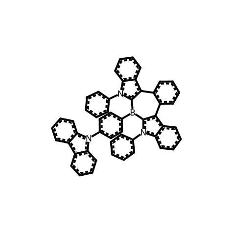 c1ccc(-n2c3c(c4ccccc42)-c2ccccc2-c2c(n(-c4ccccc4)c4ccccc24)B3c2ccc(-n3c4ccccc4c4ccccc43)cc2)cc1